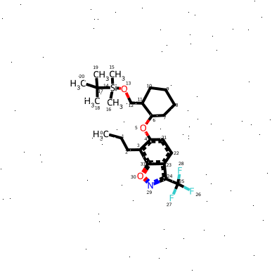 CCCc1c(OC2CCCCC2CO[Si](C)(C)C(C)(C)C)ccc2c(C(F)(F)F)noc12